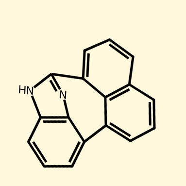 c1cc2[nH]c3nc2c(c1)c1cccc2cccc3c21